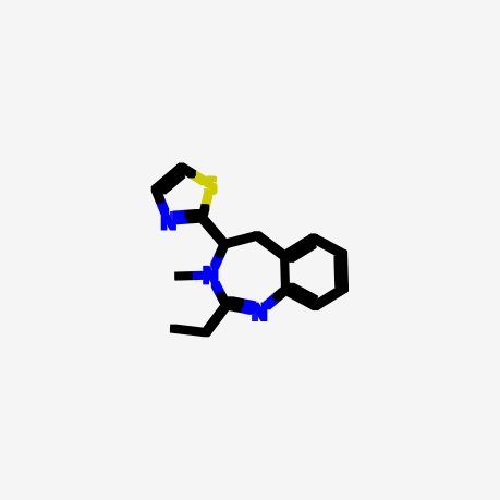 CCC1=Nc2ccccc2CC(c2nccs2)N1C